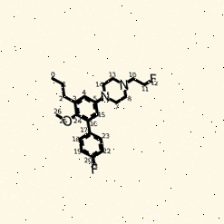 CCCc1cc(N2CCN(CCF)CC2)cc(-c2ccc(F)cc2)c1OC